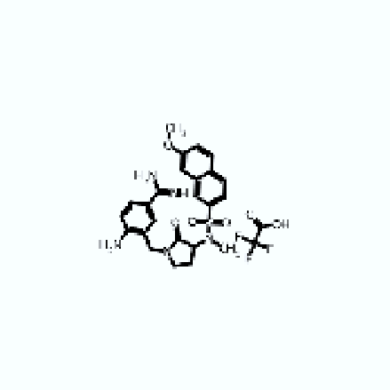 COc1ccc2ccc(S(=O)(=O)N(C)C3CCN(Cc4cc(C(=N)N)ccc4N)C3=O)cc2c1.O=C(O)C(F)(F)F